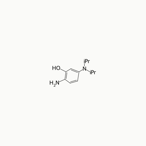 CC(C)N(c1ccc(N)c(O)c1)C(C)C